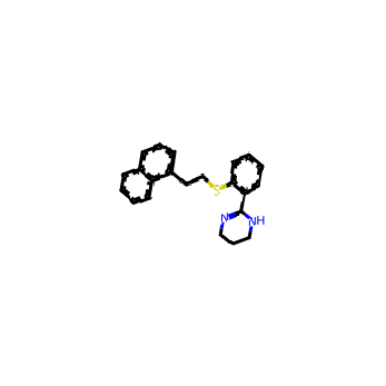 c1ccc(C2=NCCCN2)c(SCCc2cccc3ccccc23)c1